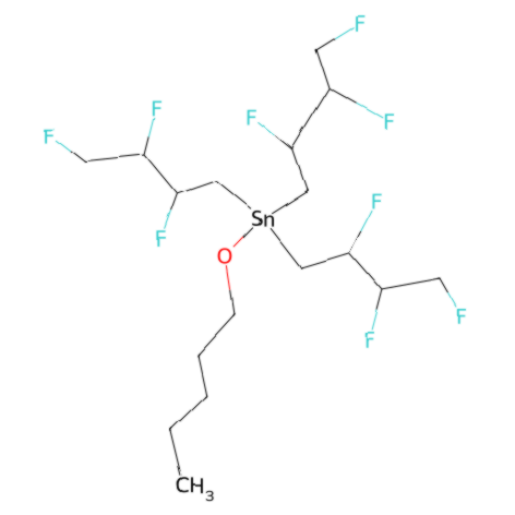 CCCCC[O][Sn]([CH2]C(F)C(F)CF)([CH2]C(F)C(F)CF)[CH2]C(F)C(F)CF